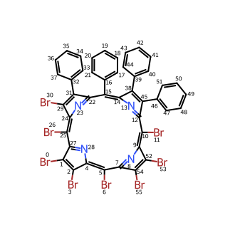 BrC1=C(Br)C2=C(Br)C3=NC(=C(Br)C4=NC(=C(c5ccccc5)C5=NC(=C(Br)C1=N2)C(Br)=C5c1ccccc1)C(c1ccccc1)=C4c1ccccc1)C(Br)=C3Br